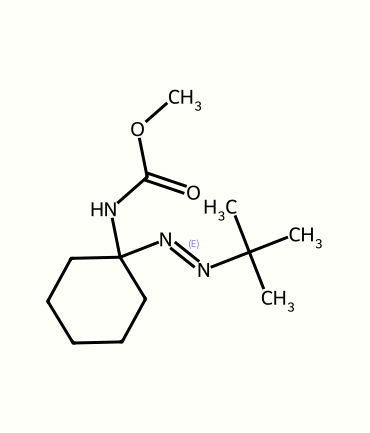 COC(=O)NC1(/N=N/C(C)(C)C)CCCCC1